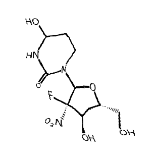 O=C1NC(O)CCN1C1O[C@H](CO)[C@@H](O)[C@]1(F)[N+](=O)[O-]